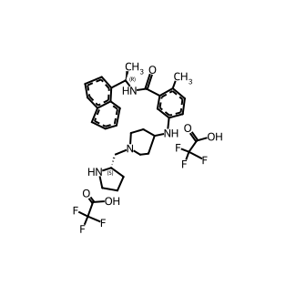 Cc1ccc(NC2CCN(C[C@@H]3CCCN3)CC2)cc1C(=O)N[C@H](C)c1cccc2ccccc12.O=C(O)C(F)(F)F.O=C(O)C(F)(F)F